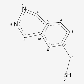 SCc1ccc2cnncc2c1